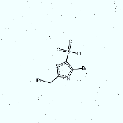 CC(C)Cc1nc(Br)c(S(=O)(=O)Cl)s1